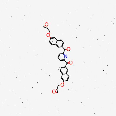 O=C(c1ccc2cc(OCC3CO3)ccc2c1)c1cccc(C(=O)c2ccc3cc(OCC4CO4)ccc3c2)n1